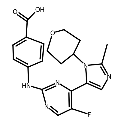 Cc1ncc(-c2nc(Nc3ccc(C(=O)O)cc3)ncc2F)n1C1CCOCC1